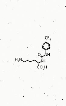 NCCCC[C@H](NC(=O)Nc1ccc(C(F)(F)F)cc1)C(=O)O